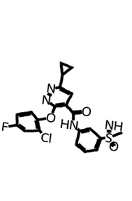 CS(=N)(=O)c1cccc(NC(=O)c2cc(C3CC3)nnc2Oc2ccc(F)cc2Cl)c1